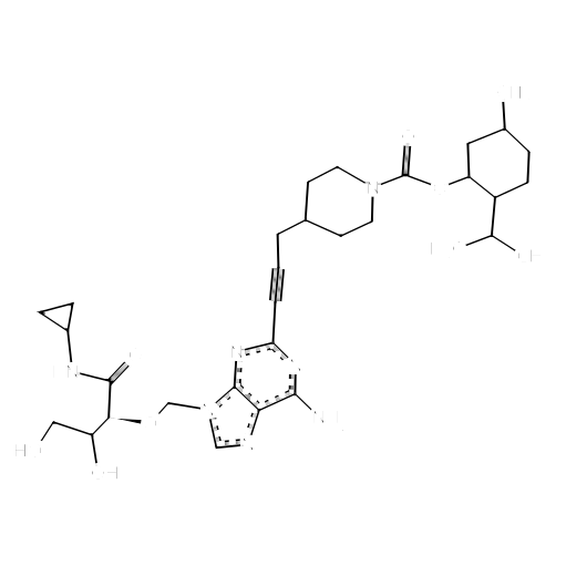 CC1CCC(C(C)C)C(OC(=O)N2CCC(CC#Cc3nc(N)c4ncn(CO[C@H](C(=O)NC5CC5)C(O)CO)c4n3)CC2)C1